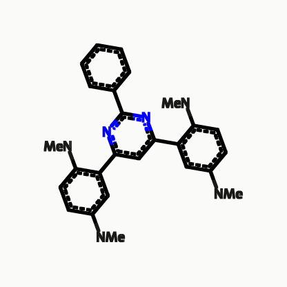 CNc1ccc(NC)c(-c2cc(-c3cc(NC)ccc3NC)nc(-c3ccccc3)n2)c1